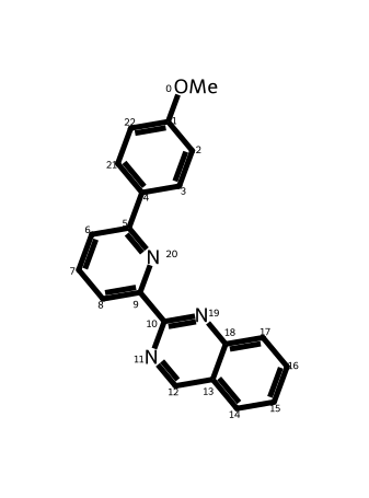 COc1ccc(-c2cccc(-c3ncc4ccccc4n3)n2)cc1